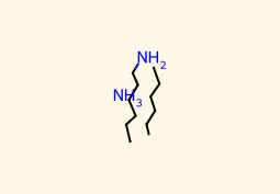 CCCCCC.CCCCCCN.N